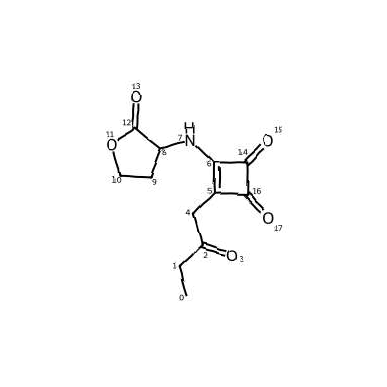 CCC(=O)Cc1c(NC2CCOC2=O)c(=O)c1=O